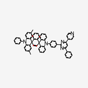 Cc1ccc2c(c1)C1(c3cc(C)ccc3N2c2ccccc2)c2ccccc2C2(c3ccccc3N(c3ccc(-c4nc(-c5ccccc5)cc(-c5ccncc5)n4)cc3)c3ccccc32)c2ccccc21